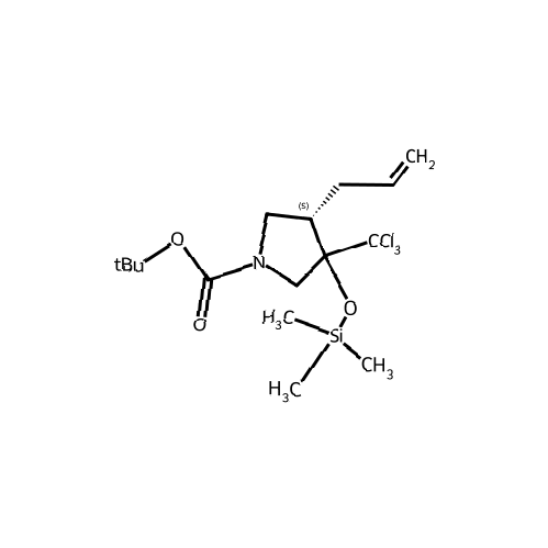 C=CC[C@H]1CN(C(=O)OC(C)(C)C)CC1(O[Si](C)(C)C)C(Cl)(Cl)Cl